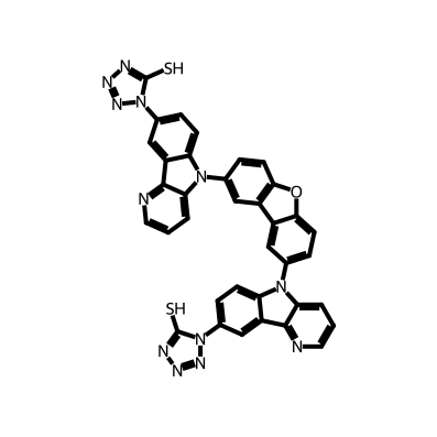 Sc1nnnn1-c1ccc2c(c1)c1ncccc1n2-c1ccc2oc3ccc(-n4c5ccc(-n6nnnc6S)cc5c5ncccc54)cc3c2c1